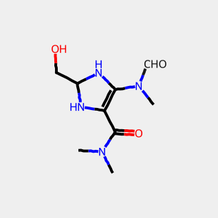 CN(C)C(=O)C1=C(N(C)C=O)NC(CO)N1